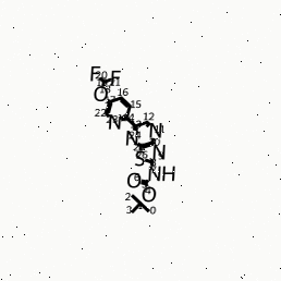 CC(C)(C)OC(=O)Nc1nc2ncc(-c3ccc(OC(F)F)cn3)nc2s1